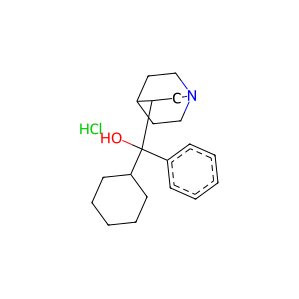 Cl.OC(c1ccccc1)(C1CCCCC1)C1CN2CCC1CC2